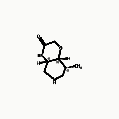 C[C@@H]1CNC[C@@H]2NC(=O)CO[C@H]12